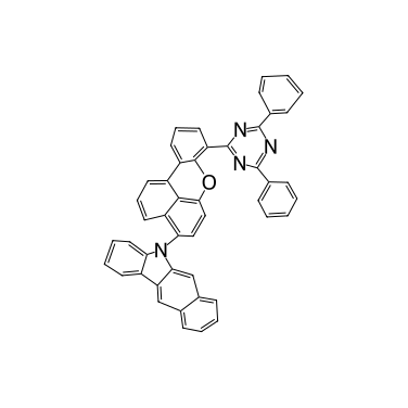 c1ccc(-c2nc(-c3ccccc3)nc(-c3cccc4c3Oc3ccc(-n5c6ccccc6c6cc7ccccc7cc65)c5cccc-4c35)n2)cc1